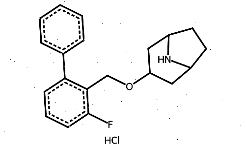 Cl.Fc1cccc(-c2ccccc2)c1COC1CC2CCC(C1)N2